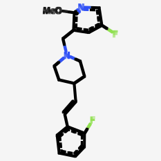 COc1ncc(F)cc1CN1CCC(C=Cc2ccccc2F)CC1